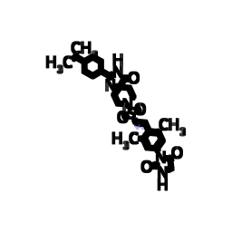 Cc1cc(N2C(=O)CNC2=O)cc(C)c1/C=C/S(=O)(=O)N1CCC2(CC1)N=C(C1CCC(C(C)C)CC1)NC2=O